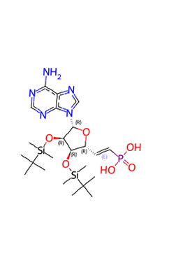 CC(C)(C)[Si](C)(C)O[C@@H]1[C@H](O[Si](C)(C)C(C)(C)C)[C@@H](/C=C/P(=O)(O)O)O[C@H]1n1cnc2c(N)ncnc21